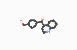 O=Cc1ccc(C(=O)c2ccnc3ccccc23)cc1